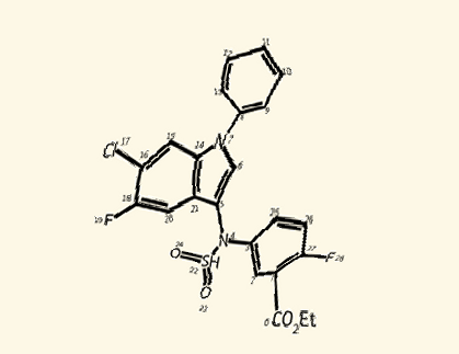 CCOC(=O)c1cc(N(c2cn(-c3ccccc3)c3cc(Cl)c(F)cc23)[SH](=O)=O)ccc1F